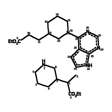 CCOC(=O)C(C)C1CCCNC1.CCOC(=O)CCC1CCCN(c2ncnc3[nH]ccc23)C1